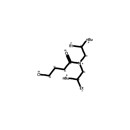 CCCCC(CC)CN(CC(CC)CCCC)C(=O)CCCCl